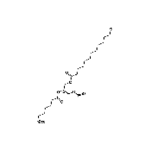 CCCCCCCCCCCCCCCC(=O)O[C@H](COP=O)COC(=O)CCCCCCCCCCCS